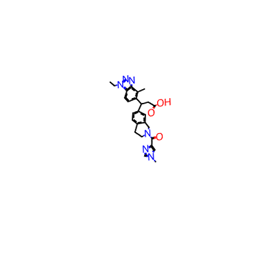 CCn1nnc2c(C)c(C(CC(=O)O)c3ccc4c(c3)CN(C(=O)c3cn(C)cn3)CC4)ccc21